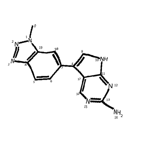 Cn1nnc2ccc(-c3c[nH]c4nc(N)ncc34)cc21